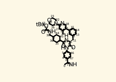 CC(=N)c1ccc(NC(=O)[C@H](Cc2cccc(-c3cnc(N4CCOCC4)cc3C)c2)NC(=O)C2CCC(CNC(=O)OC(C)(C)C)CC2)cc1